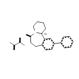 CCCC(=S)C(=O)N[C@H]1Cc2ccc(-c3ccccc3)cc2[C@H]2CCC[C@@H](C(=O)O)N2C1=O